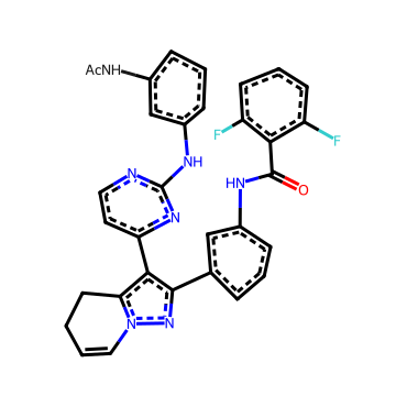 CC(=O)Nc1cccc(Nc2nccc(-c3c(-c4cccc(NC(=O)c5c(F)cccc5F)c4)nn4c3CCC=C4)n2)c1